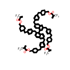 C=C(C(=O)OCC1CCC(Cc2ccc(Cc3ccc4c(-c5c(Cc6ccc(CC7CCC(COC(=O)C(=C)C(F)(F)F)CC7)cc6)ccc6cc(Cc7ccc(CC8CCC(COC(=O)C(=C)C(F)(F)F)CC8)cc7)ccc56)cc(Cc5ccc(CC6CCC(COC(=O)C(=C)C(F)(F)F)CC6)cc5)cc4c3)cc2)CC1)C(F)(F)F